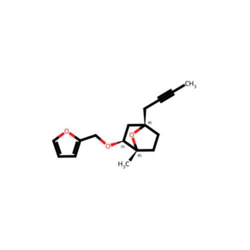 CC#CC[C@@]12CC[C@@](C)(O1)[C@@H](OCc1ccco1)C2